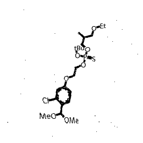 CCOCC(C)COP(=S)(OCCOc1ccc(C(OC)OC)c(Cl)c1)OC(C)(C)C